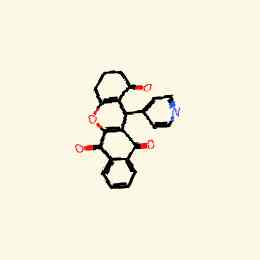 O=C1CCCC2=C1C(c1ccncc1)C1=C(O2)C(=O)c2ccccc2C1=O